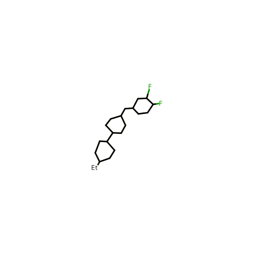 CCC1CCC(C2CCC(CC3CCC(F)C(F)C3)CC2)CC1